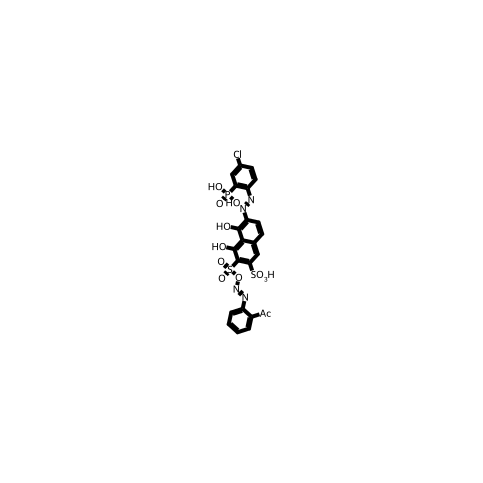 CC(=O)c1ccccc1N=NOS(=O)(=O)c1c(S(=O)(=O)O)cc2ccc(N=Nc3ccc(Cl)cc3P(=O)(O)O)c(O)c2c1O